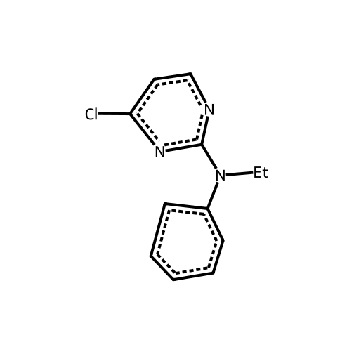 CCN(c1ccccc1)c1nccc(Cl)n1